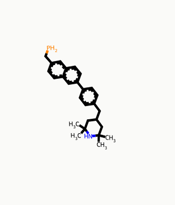 CC1(C)CC(Cc2ccc(-c3ccc4cc(CP)ccc4c3)cc2)CC(C)(C)N1